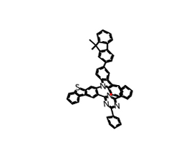 CC1(C)c2ccccc2-c2ccc(-c3ccc4c(c3)c3ccccc3n4-c3cc4sc5ccccc5c4cc3-c3nc(-c4ccccc4)nc(-c4ccccc4)n3)cc21